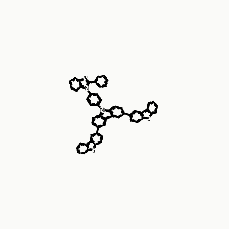 c1ccc(-c2nc3ccccc3n2-c2ccc(-n3c4ccc(-c5ccc6sc7ccccc7c6c5)cc4c4cc(-c5ccc6sc7ccccc7c6c5)ccc43)cc2)cc1